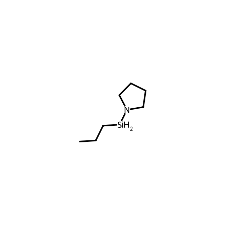 CCC[SiH2]N1CCCC1